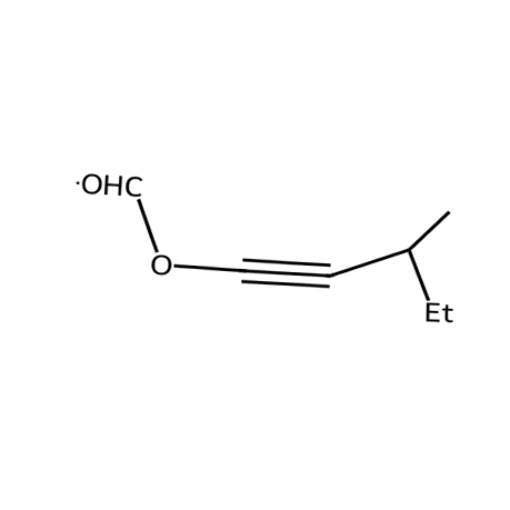 CCC(C)C#CO[C]=O